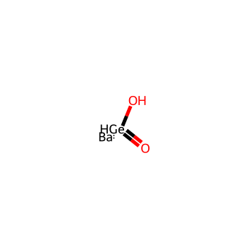 [Ba].[O]=[GeH][OH]